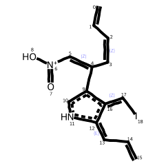 C=C/C=C\C(=C\[N+](=O)O)c1c[nH]c(=C/C=C)/c1=C\I